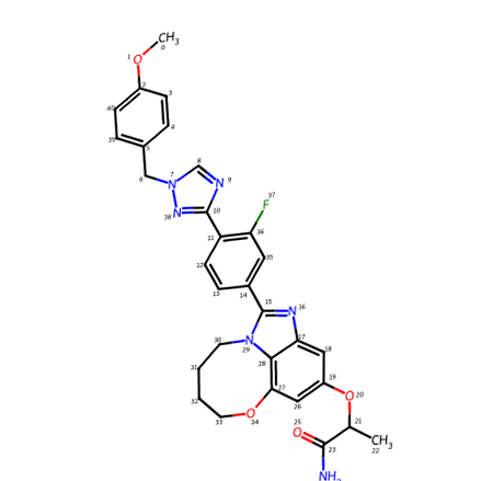 COc1ccc(Cn2cnc(-c3ccc(-c4nc5cc(OC(C)C(N)=O)cc6c5n4CCCCO6)cc3F)n2)cc1